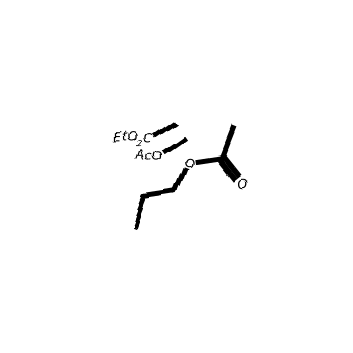 CCCOC(C)=O.CCOC(C)=O.COC(C)=O